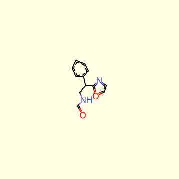 O=CNCC(c1ccccc1)c1ncco1